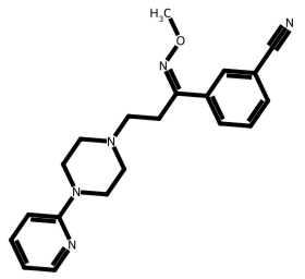 CON=C(CCN1CCN(c2ccccn2)CC1)c1cccc(C#N)c1